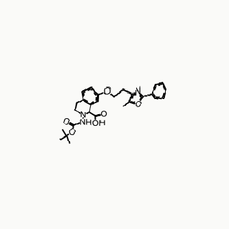 Cc1oc(-c2ccccc2)nc1CCOc1ccc2c(c1)C(C(=O)O)N(NC(=O)OC(C)(C)C)CC2